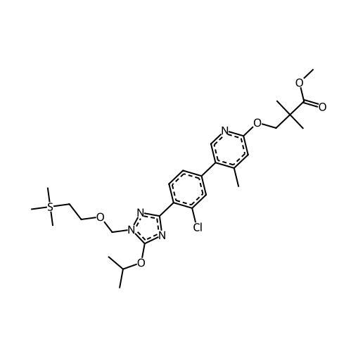 COC(=O)C(C)(C)COc1cc(C)c(-c2ccc(-c3nc(OC(C)C)n(COCCS(C)(C)C)n3)c(Cl)c2)cn1